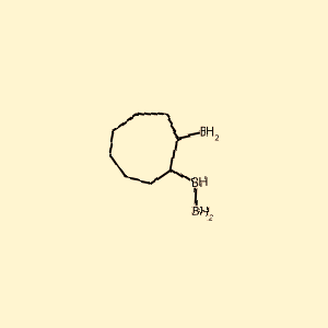 BBC1CCCCCCC1B